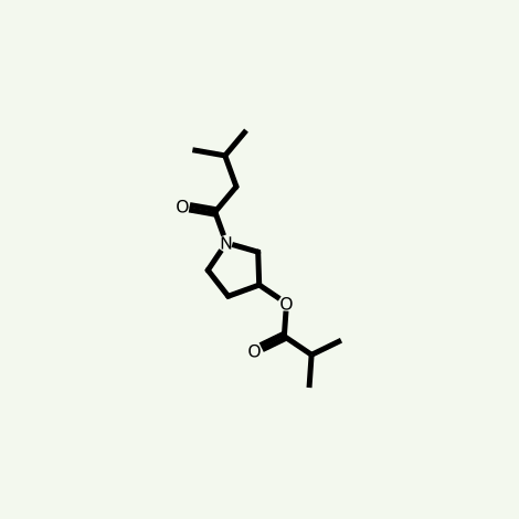 CC(C)CC(=O)N1CCC(OC(=O)C(C)C)C1